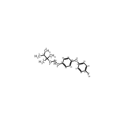 CC(C)C(C)(C)OBOc1ccc(Oc2ccc(F)cc2)cc1